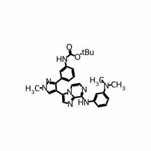 CN(C)c1cccc(Nc2nccn3c(-c4cn(C)nc4-c4cccc(NC(=O)OC(C)(C)C)c4)cnc23)c1